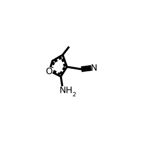 Cc1coc(N)c1C#N